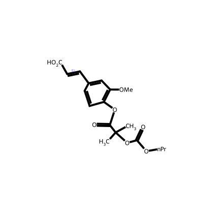 CCCOC(=O)OC(C)(C)C(=O)Oc1ccc(/C=C/C(=O)O)cc1OC